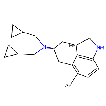 CC(=O)c1ccc2c3c1C[C@@H](N(CC1CC1)CC1CC1)C[C@H]3CN2